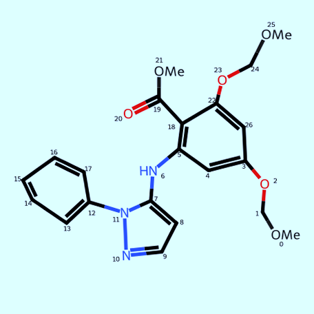 COCOc1cc(Nc2ccnn2-c2ccccc2)c(C(=O)OC)c(OCOC)c1